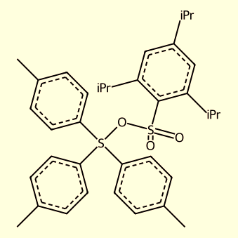 Cc1ccc(S(OS(=O)(=O)c2c(C(C)C)cc(C(C)C)cc2C(C)C)(c2ccc(C)cc2)c2ccc(C)cc2)cc1